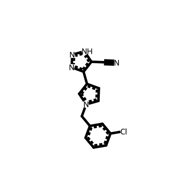 N#Cc1[nH]nnc1-c1ccn(Cc2cccc(Cl)c2)c1